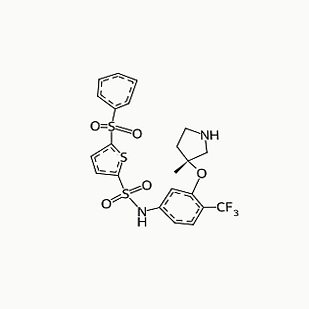 C[C@@]1(Oc2cc(NS(=O)(=O)c3ccc(S(=O)(=O)c4ccccc4)s3)ccc2C(F)(F)F)CCNC1